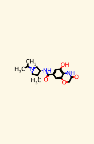 CC(C)N1C[C@@H](C)[C@@H](NC(=O)c2cc(O)c3c(c2)OCC(=O)N3)C1